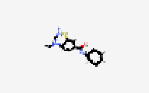 CCN1CNSc2cc(C(=O)Nc3ccccc3)ccc21